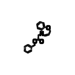 O=C(CN1C=CCOc2ccccc21)OCc1ccccc1